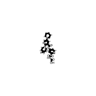 O=C(O)NS(=O)(=O)c1cc(NC(=O)c2cc(N3CCCCC3)cnc2N2CCC(F)(F)CC2)ccn1